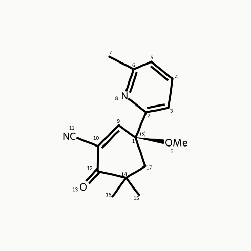 CO[C@]1(c2cccc(C)n2)C=C(C#N)C(=O)C(C)(C)C1